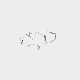 Cc1ccc(C(=O)c2ccncc2)c(N)c1